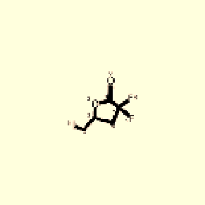 O=C1OC(CI)CC1(F)F